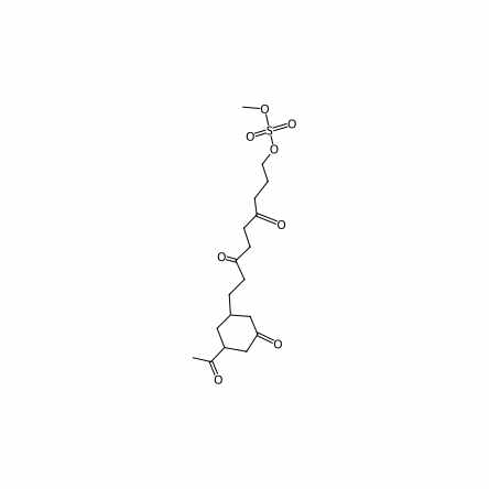 COS(=O)(=O)OCCCC(=O)CCC(=O)CCC1CC(=O)CC(C(C)=O)C1